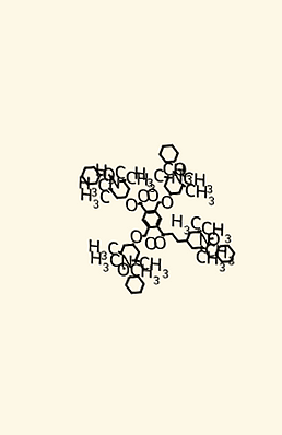 CC1(C)CC(CCC(=O)c2cc(C(=O)OC3CC(C)(C)N(OC4CCCCC4)C(C)(C)C3)c(C(=O)OC3CC(C)(C)N(OC4CCCCC4)C(C)(C)C3)cc2C(=O)OC2CC(C)(C)N(OC3CCCCC3)C(C)(C)C2)CC(C)(C)N1OC1CCCCC1